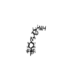 N=Cc1ccc(C=Nc2ccc(C(F)(F)F)cc2)o1